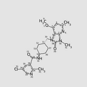 COc1cc(C)nc2c1n(C[C@H]1CC[C@H](NC(=O)c3cc(Cl)cnc3C)CC1)c(=O)n2C